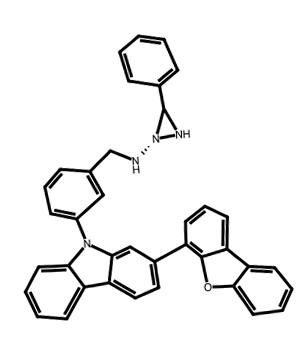 c1ccc(C2N[N@]2NCc2cccc(-n3c4ccccc4c4ccc(-c5cccc6c5oc5ccccc56)cc43)c2)cc1